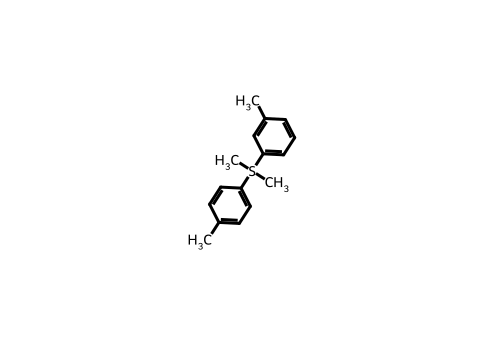 Cc1ccc(S(C)(C)c2cccc(C)c2)cc1